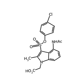 CC(=O)Nc1cccc2c1c(S(=O)(=O)Oc1ccc(Cl)cc1)c(C)n2CC(=O)O